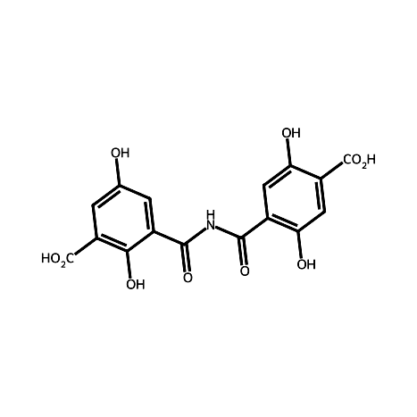 O=C(O)c1cc(O)c(C(=O)NC(=O)c2cc(O)cc(C(=O)O)c2O)cc1O